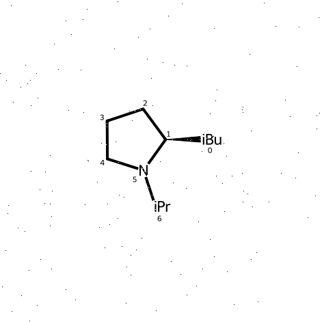 CCC(C)[C@@H]1CCCN1C(C)C